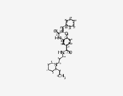 CCC1CCCCN1CCCNC(=O)c1ccc2c(c1)NC(=O)/C(=C/c1ccccc1)O2